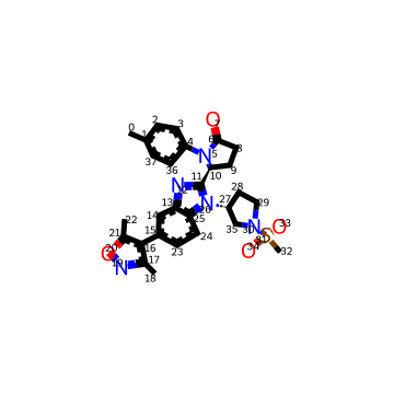 Cc1ccc(N2C(=O)CC[C@H]2c2nc3cc(-c4c(C)noc4C)ccc3n2[C@@H]2CCN(S(C)(=O)=O)C2)cc1